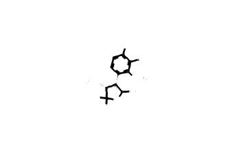 COc1c([C@H]2C(O)OC(C)(C)[C@H]2OC)ccc(F)c1F